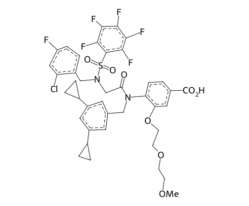 COCCOCCOc1cc(C(=O)O)ccc1N(Cc1cc(C2CC2)cc(C2CC2)c1)C(=O)CN(Cc1ccc(F)cc1Cl)S(=O)(=O)c1c(F)c(F)c(F)c(F)c1F